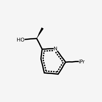 CC(C)c1cccc([C@H](C)O)n1